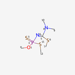 COP(=S)(/N=C(\SC)N(C)C)SC